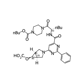 CCCCOC(=O)N1CCN(C(=O)[C@H](CCCC)NC(=O)c2cc(N3C[C@@H]4[C@H](C3)[C@@H]4OC(=O)O)nc(-c3ccccc3)n2)CC1